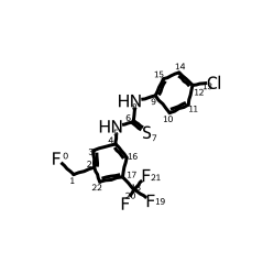 FCc1cc(NC(=S)Nc2ccc(Cl)cc2)cc(C(F)(F)F)c1